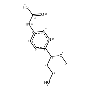 COC(CCO)c1ccc(NC(=O)O)nn1